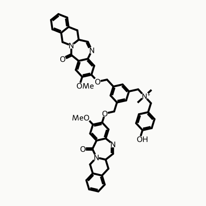 COc1cc2c(cc1OCc1cc(COc3cc4c(cc3OC)C(=O)N3Cc5ccccc5CC3C=N4)cc(C[N+](C)(C)Cc3ccc(O)cc3)c1)N=CC1Cc3ccccc3CN1C2=O